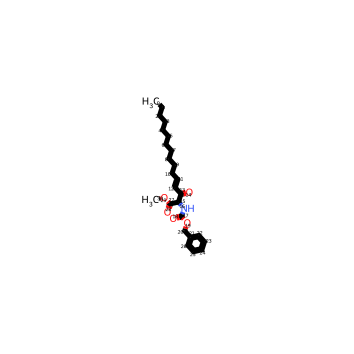 CCCCCCCCCCC/C=C/C(=O)C(NC(=O)OCc1ccccc1)C(=O)OC